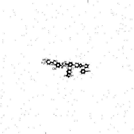 CCc1nc2[nH]cc(F)c2cc1Oc1cc(N2CCC3(CC2)CC(N2CCC[C@H]2c2ccccc2C(C)C)C3)ccc1C(=O)NS(=O)(=O)c1cc(N=O)c2c(c1)OC[C@H]([C@H]1CC[C@](C)(O)CC1)N2